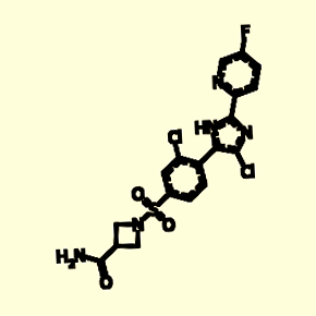 NC(=O)C1CN(S(=O)(=O)c2ccc(-c3[nH]c(-c4ccc(F)cn4)nc3Cl)c(Cl)c2)C1